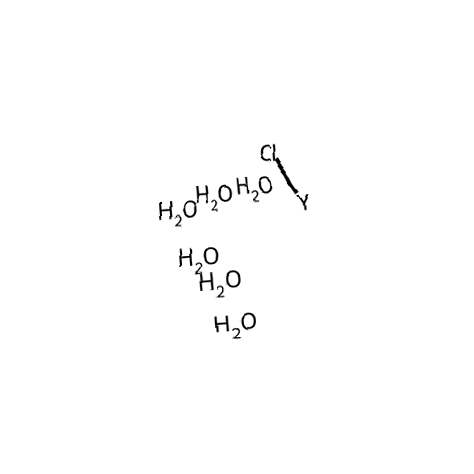 O.O.O.O.O.O.[Cl][Y]